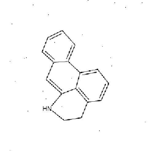 c1ccc2c(c1)cc1c3c(cccc32)CCN1